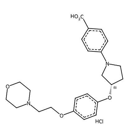 Cl.O=C(O)c1ccc(N2CC[C@H](Oc3ccc(OCCN4CCOCC4)cc3)C2)cc1